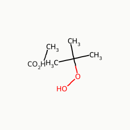 CC(=O)O.CC(C)(C)OO